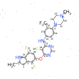 Cc1cc2c(F)c(Oc3ncnc(Nc4ccc(N5CCN(C)CC5)c(C(F)(F)F)c4)c3F)cc(F)c2[nH]1